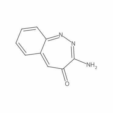 Nc1nnc2ccccc2cc1=O